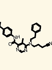 CCc1ccc(NC(=O)c2ncnc(N(CCCC#N)CCc3ccccc3)c2C)cc1